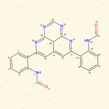 O=CNc1ccccc1C1=CC2=CC(c3ccccc3NC=O)=NC3=NC=NC(=N1)C23